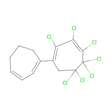 ClC1=C(C2=CC=CCCC2)CC(Cl)(Cl)C(Cl)(Cl)C(Cl)=C1Cl